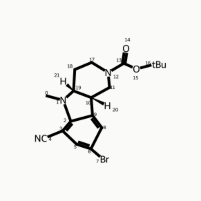 CN1c2c(C#N)cc(Br)cc2[C@H]2CN(C(=O)OC(C)(C)C)CC[C@H]21